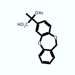 CC(=O)OC(C)(C(=O)O)c1ccc2c(c1)Oc1ccccc1CO2